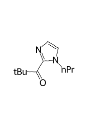 CCCn1ccnc1C(=O)C(C)(C)C